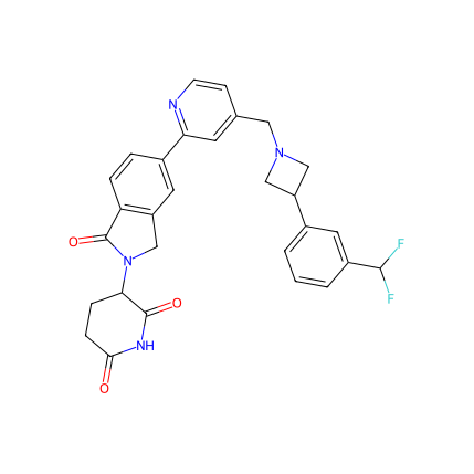 O=C1CCC(N2Cc3cc(-c4cc(CN5CC(c6cccc(C(F)F)c6)C5)ccn4)ccc3C2=O)C(=O)N1